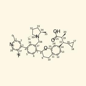 Cc1cc(-c2ccc(C3CCc4ccc([C@H](C5CC5)[C@H](C)C(=O)O)cc4O3)c(CN3[C@H](C)CC[C@H]3C)c2)c(F)cn1